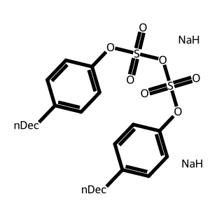 CCCCCCCCCCc1ccc(OS(=O)(=O)OS(=O)(=O)Oc2ccc(CCCCCCCCCC)cc2)cc1.[NaH].[NaH]